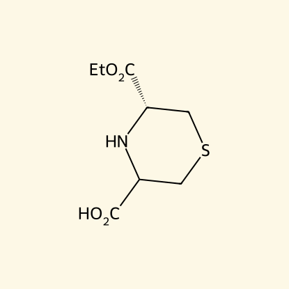 CCOC(=O)[C@@H]1CSCC(C(=O)O)N1